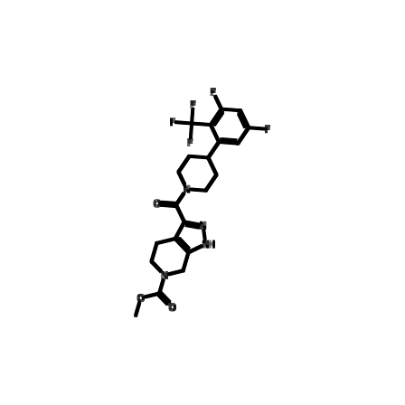 COC(=O)N1CCc2c(C(=O)N3CCC(c4cc(F)cc(F)c4C(F)(F)F)CC3)n[nH]c2C1